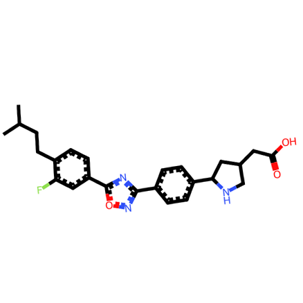 CC(C)CCc1ccc(-c2nc(-c3ccc(C4CC(CC(=O)O)CN4)cc3)no2)cc1F